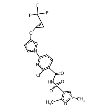 Cc1nn(C)cc1S(=O)(=O)NC(=O)c1ccc(-n2ccc(OC3=C(C(F)(F)F)C3)n2)nc1Cl